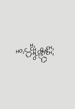 Cc1c(NC(=O)C(C)(Cc2ccccc2)SC(=O)N(C)C)cccc1C(=O)O